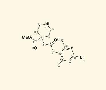 COC(=O)C1(CC(=O)Cc2c(C)cc(Br)cc2C)CCNCC1